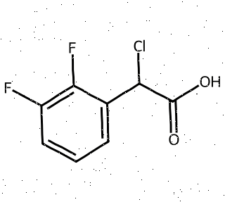 O=C(O)C(Cl)c1cccc(F)c1F